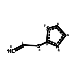 [CH]=CSc1nccs1